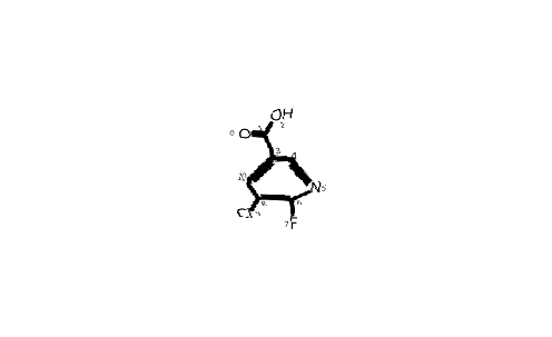 O=C(O)c1cnc(F)c(Cl)c1